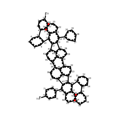 Fc1ccc(-c2ccccc2-c2c3c(c(-c4ccccc4)c4ccccc24)-c2ccc4c5ccc6c7c(ccc(c8ccc-3c2c48)c75)-c2c-6c(-c3ccccc3-c3ccccc3)c3ccccc3c2-c2ccc(F)cc2)cc1